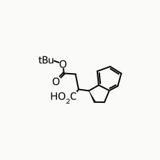 CC(C)(C)OC(=O)C[C@H](C(=O)O)[C@@H]1CCc2ccccc21